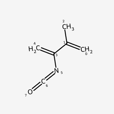 C=C(C)C(=C)N=C=O